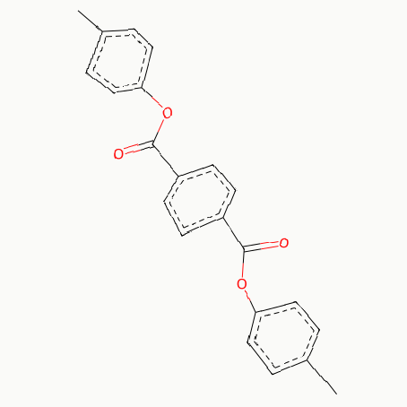 Cc1ccc(OC(=O)c2ccc(C(=O)Oc3ccc(C)cc3)cc2)cc1